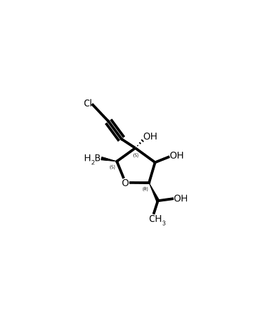 B[C@@H]1O[C@H](C(C)O)C(O)[C@]1(O)C#CCl